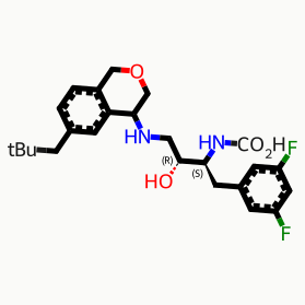 CC(C)(C)Cc1ccc2c(c1)C(NC[C@@H](O)[C@H](Cc1cc(F)cc(F)c1)NC(=O)O)COC2